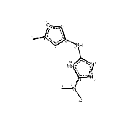 Cc1cc(Nc2nnc(N(C)C)[nH]2)co1